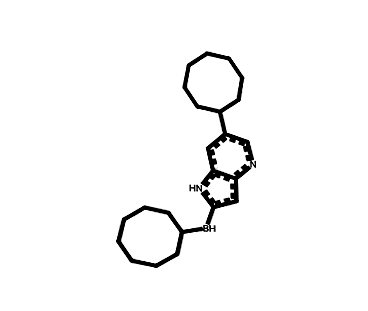 B(c1cc2ncc(C3CCCCCCC3)cc2[nH]1)C1CCCCCCC1